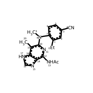 CCc1cc(C#N)ccc1N(C)c1nc(NC(C)=O)c2nc[nH]c2c1C